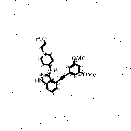 CC=CN1CCC(Nc2n[nH]c3nccc(C#Cc4cc(OC)cc(OC)c4)c23)CC1